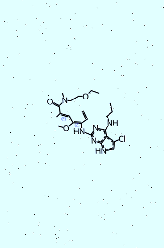 C=C/C(Nc1nc(NCCC)c2c(Cl)c[nH]c2n1)=C(\C=C(/C)C(=O)N(C)CCOCC)OC